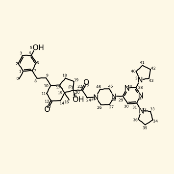 Cc1ccc(O)cc1CCC1CC(=O)CC2(C)C1CC[C@]2(O)C(=O)CN1CCN(c2cc(N3CCCC3)nc(N3CCCC3)n2)CC1